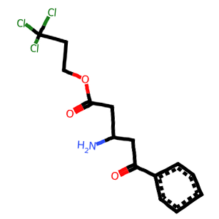 NC(CC(=O)OCCC(Cl)(Cl)Cl)CC(=O)c1ccccc1